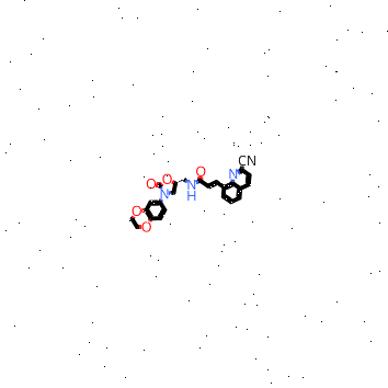 N#Cc1ccc2cccc(/C=C/C(=O)NC[C@@H]3CN(c4ccc5c(c4)OCCO5)C(=O)O3)c2n1